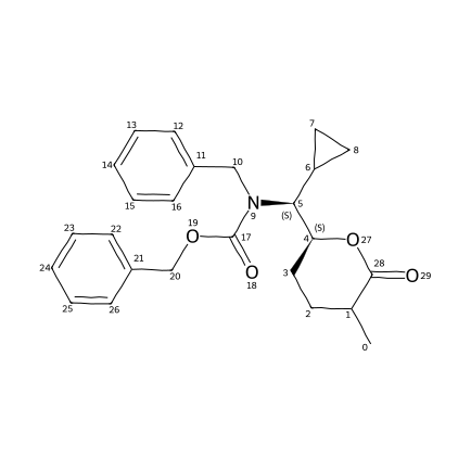 CC1CC[C@@H]([C@H](C2CC2)N(Cc2ccccc2)C(=O)OCc2ccccc2)OC1=O